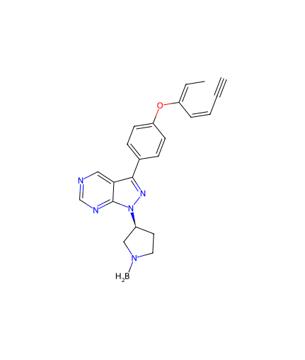 BN1CC[C@H](n2nc(-c3ccc(OC(/C=C\C#C)=C/C)cc3)c3cncnc32)C1